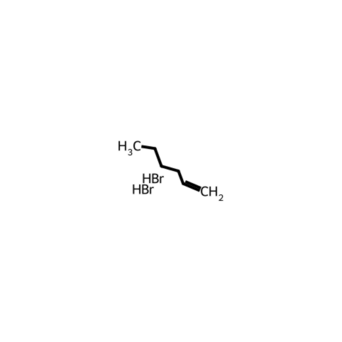 Br.Br.C=CCCCC